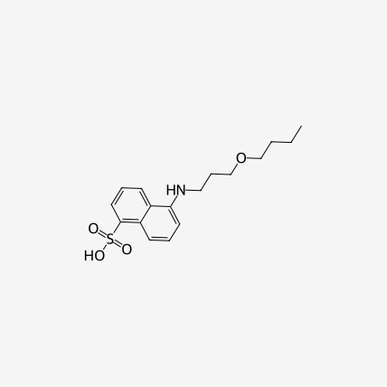 CCCCOCCCNc1cccc2c(S(=O)(=O)O)cccc12